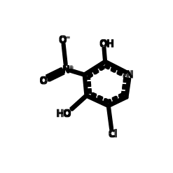 O=[N+]([O-])c1c(O)ncc(Cl)c1O